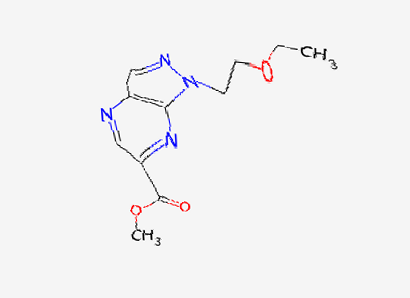 CCOCCn1ncc2ncc(C(=O)OC)nc21